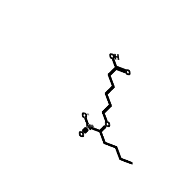 CCCCC(OCCCCCC(=O)O)[N+](=O)[O-]